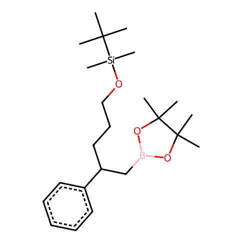 CC1(C)OB(CC(CCCO[Si](C)(C)C(C)(C)C)c2ccccc2)OC1(C)C